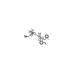 C=Cc1ccccc1C(Cc1ccccc1C)OC(=O)NCCCOP(OCCC#N)N(C(C)C)C(C)C